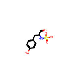 O=[C]C(Cc1ccc(O)cc1)NS(=O)(=O)O